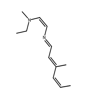 C\C=C/C(C)=C/C=N/C=C\N(C)CC